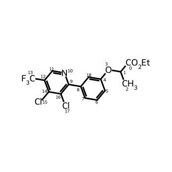 CCOC(=O)C(C)Oc1cccc(-c2ncc(C(F)(F)F)c(Cl)c2Cl)c1